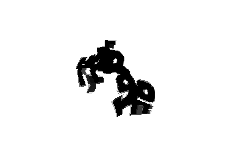 CCC(I)C(=O)OCC1CC2CC1C(O)(C(F)(F)F)C2(F)F